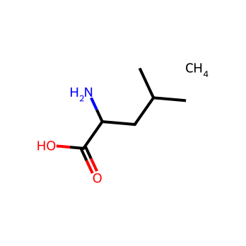 C.CC(C)CC(N)C(=O)O